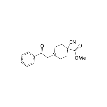 COC(=O)C1(C#N)CCN(CC(=O)c2ccccc2)CC1